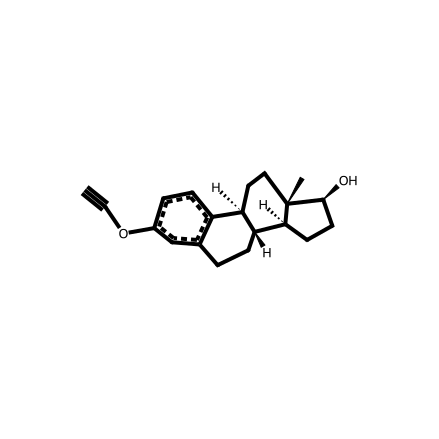 C#COc1ccc2c(c1)CC[C@@H]1[C@@H]2CC[C@]2(C)[C@@H](O)CC[C@@H]12